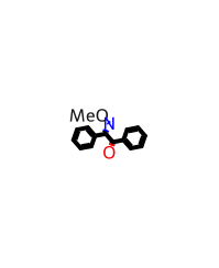 CON=C(C(=O)c1ccccc1)c1ccccc1